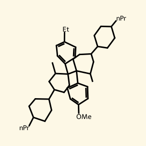 CCCC1CCC(C2CCC(c3ccc(CC)cc3)(C3(c4ccc(OC)cc4)CCC(C4CCC(CCC)CC4)CC3C)C(C)C2)CC1